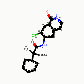 COC(C(=O)Nc1cc2cc[nH]c(=O)c2cc1Cl)(c1ccccc1)C(F)(F)F